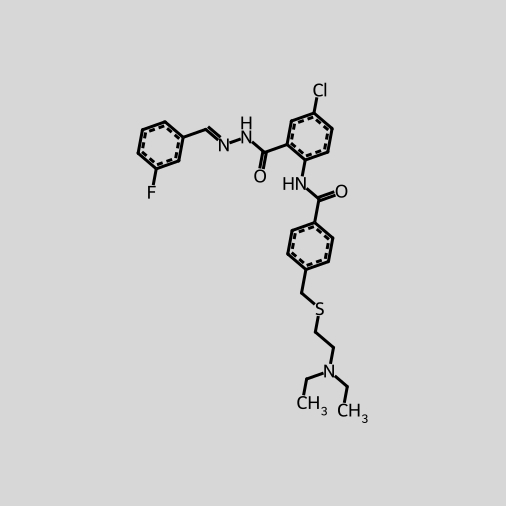 CCN(CC)CCSCc1ccc(C(=O)Nc2ccc(Cl)cc2C(=O)NN=Cc2cccc(F)c2)cc1